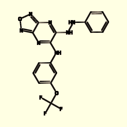 FC(F)(F)Oc1cccc(Nc2nc3nonc3nc2NNc2ccccc2)c1